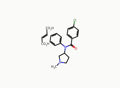 CN1CCC(N(C(=O)c2ccc(Cl)cc2)c2ccccc2)C1.O=C(O)/C=C/C(=O)O